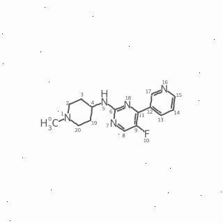 CN1CCC(Nc2ncc(F)c(-c3cccnc3)n2)CC1